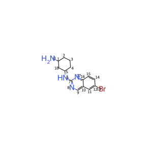 NC1CCCC(Nc2ncc3cc(Br)ccc3n2)C1